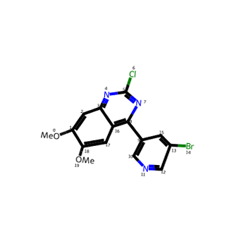 COc1cc2nc(Cl)nc(-c3cncc(Br)c3)c2cc1OC